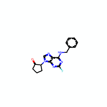 O=C1CCCC1n1cnc2c(NCc3ccccc3)nc(F)nc21